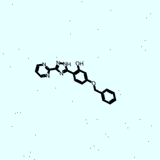 Oc1cc(OCc2ccccc2)ccc1-c1nc(-c2ncccn2)n[nH]1